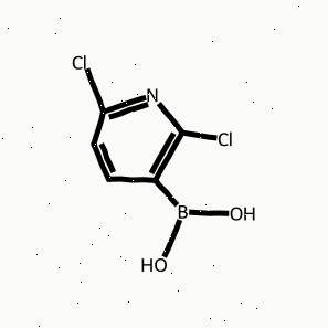 OB(O)c1ccc(Cl)nc1Cl